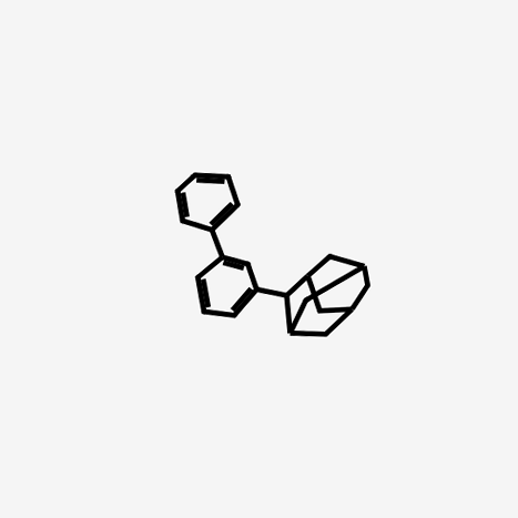 [c]1ccc(-c2cccc(C3C4CC5CC(C4)CC3C5)c2)cc1